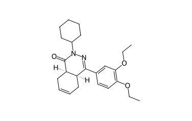 CCOc1ccc(C2=NN(C3CCCCC3)C(=O)[C@@H]3CC=CC[C@H]23)cc1OCC